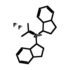 C[C](C)=[Zr+2]([CH]1CCC2C=CC=CC21)[CH]1CCC2C=CC=CC21.[F-].[F-]